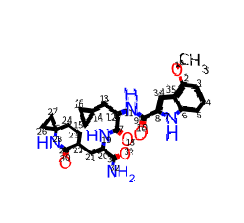 COc1cccc2[nH]c(C(=O)NC(CC3CC3)C(=O)NC(CC3CCC4(CC4)NC3=O)C(N)=O)cc12